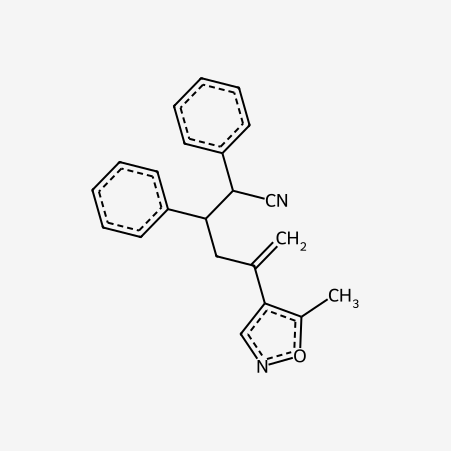 C=C(CC(c1ccccc1)C(C#N)c1ccccc1)c1cnoc1C